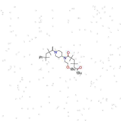 C=C(N1CCC(N(CCOC(C)CC)C(=O)C(C)(C)CC(C)(C)CC(=O)C(C)(C)C)CC1)C(C)(C)CC(C)(C)C(C)C